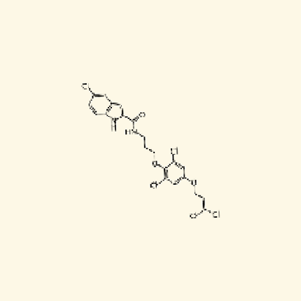 O=C(NCCCOc1c(Cl)cc(OCC=C(Cl)Cl)cc1Cl)c1cc2cc(Cl)ccc2[nH]1